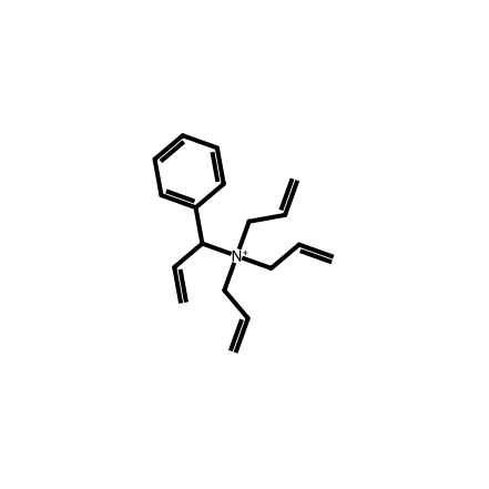 C=CC[N+](CC=C)(CC=C)C(C=C)c1ccccc1